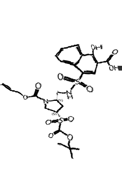 C=CCOC(=O)N1C[C@@H](S(=O)(=O)C(=O)OC(C)(C)C)C[C@H]1CNS(=O)(=O)c1cc(C(=O)O)c(O)c2ccccc12